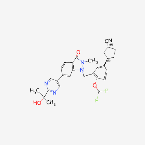 Cn1c(=O)c2ccc(-c3cnc(C(C)(C)O)nc3)cc2n1Cc1cc([C@@H]2CC[C@@H](C#N)C2)ccc1OC(F)F